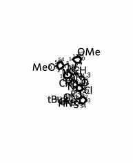 COc1ccc(CN(Cc2ccc(OC)cc2)c2ncccc2[C@@H](C)N2CCOc3c(Cl)c(-c4cccc5sc(NC(=O)OC(C)(C)C)nc45)c(F)c4nc(Cl)nc2c34)cc1